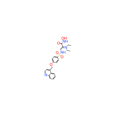 CCN(CC)[C@@H](CNS(=O)(=O)c1ccc(OCc2ccnc3ccccc23)cc1)C(=O)NO